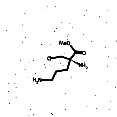 COC(=O)[C@](N)(CCl)CCCN